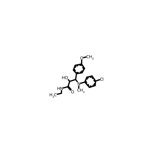 CCNC(=O)C(O)C(c1ccc(OC)cc1)N(C)c1ccc(Cl)cc1